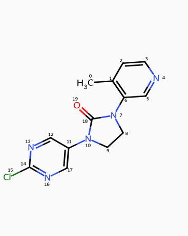 Cc1ccncc1N1CCN(c2cnc(Cl)nc2)C1=O